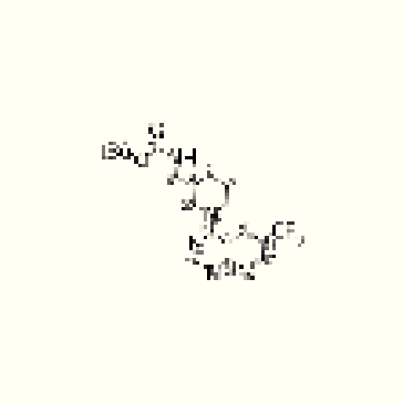 CC(C)(C)OC(=O)NCC1CCCN(c2ncnc3ccc(C(F)(F)F)cc23)C1